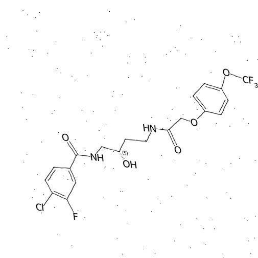 O=C(COc1ccc(OC(F)(F)F)cc1)NCC[C@H](O)CNC(=O)c1ccc(Cl)c(F)c1